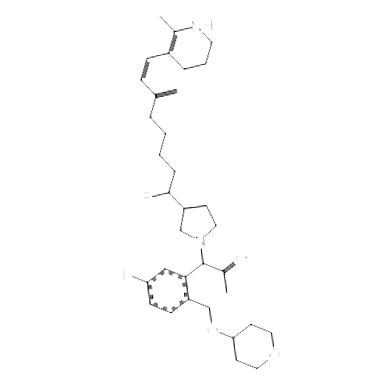 C=C(/C=C\C1=C(C)NCCC1)CCCCC(F)C1CCN(C(C(C)=O)c2cc(F)ccc2COC2CCOCC2)C1